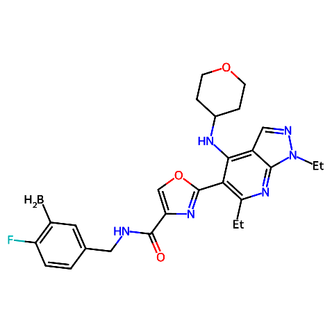 Bc1cc(CNC(=O)c2coc(-c3c(CC)nc4c(cnn4CC)c3NC3CCOCC3)n2)ccc1F